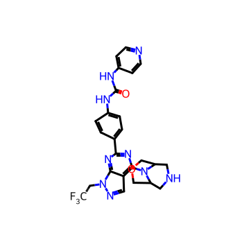 O=C(Nc1ccncc1)Nc1ccc(-c2nc(N3C4CNCC3COC4)c3cnn(CC(F)(F)F)c3n2)cc1